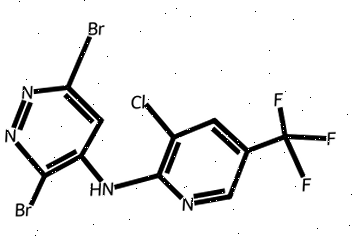 FC(F)(F)c1cnc(Nc2cc(Br)nnc2Br)c(Cl)c1